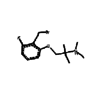 C[SiH](C)C(C)(C)COc1cccc(F)c1CBr